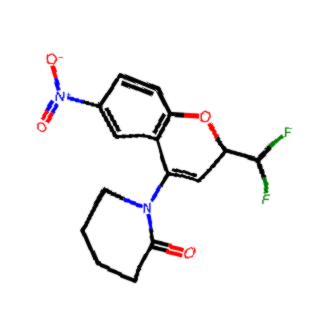 O=C1CCCCN1C1=CC(C(F)F)Oc2ccc([N+](=O)[O-])cc21